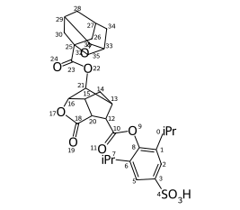 CC(C)c1cc(S(=O)(=O)O)cc(C(C)C)c1OC(=O)C1C2CC3C(OC(=O)C31)C2OC(=O)C12CC3CC(C1)C(=O)C(C3)C2